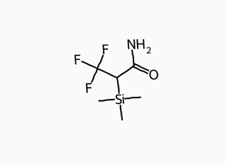 C[Si](C)(C)C(C(N)=O)C(F)(F)F